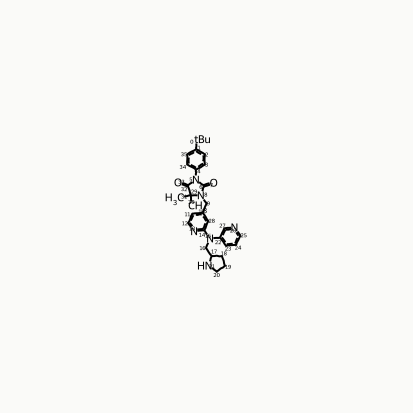 CC(C)(C)c1ccc(N2C(=O)N(Cc3ccnc(N(CC4CCCN4)c4cccnc4)c3)C(C)(C)C2=O)cc1